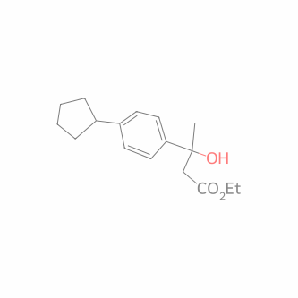 CCOC(=O)CC(C)(O)c1ccc(C2CCCC2)cc1